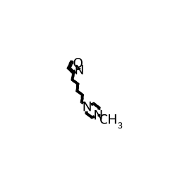 CN1CCN(CCCCCc2ccon2)CC1